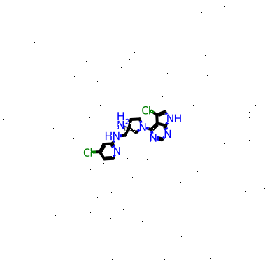 N[C@]1(CNc2cc(Cl)ccn2)CCN(c2ncnc3[nH]cc(Cl)c23)C1